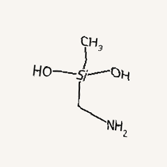 C[Si](O)(O)CN